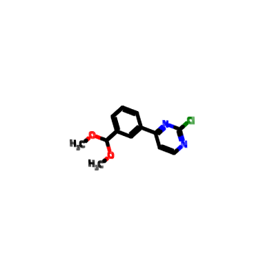 COC(OC)c1cccc(-c2ccnc(Cl)n2)c1